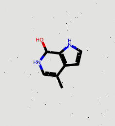 CC1=CNC(O)c2[nH]ccc21